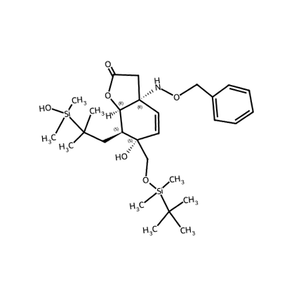 CC(C)(C[C@H]1[C@H]2OC(=O)C[C@@]2(NOCc2ccccc2)C=C[C@@]1(O)CO[Si](C)(C)C(C)(C)C)[Si](C)(C)O